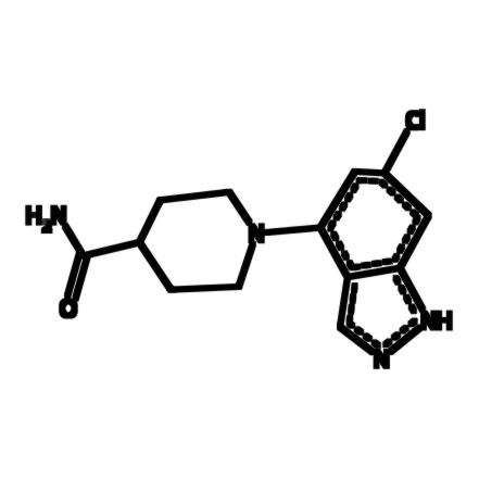 NC(=O)C1CCN(c2cc(Cl)cc3[nH]ncc23)CC1